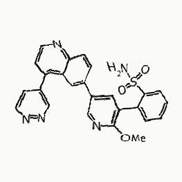 COc1ncc(-c2ccc3nccc(-c4ccnnc4)c3c2)cc1-c1ccccc1S(N)(=O)=O